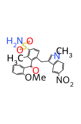 COc1ccccc1C(=O)c1c(Cc2cn(C)c3ccc([N+](=O)[O-])cc23)ccc(S(N)(=O)=O)c1C